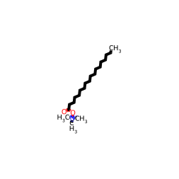 CCCCCCCCCCCCCCCCCC(=O)O[N+](C)(C)C